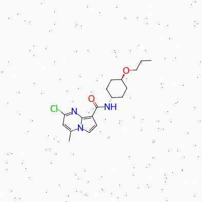 CCCO[C@H]1CC[C@H](NC(=O)c2ccn3c(C)cc(Cl)nc23)CC1